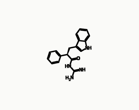 N=C(N)NC(=O)[C@H](Cc1c[nH]c2ccccc12)c1ccccc1